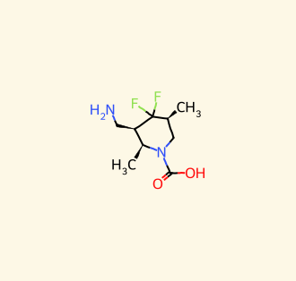 C[C@H]1[C@@H](CN)C(F)(F)[C@@H](C)CN1C(=O)O